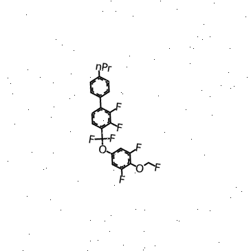 CCCc1ccc(-c2ccc(C(F)(F)Oc3cc(F)c(OCF)c(F)c3)c(F)c2F)cc1